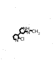 C=C/N=c1/cc(-c2cccnc2Cl)cc[nH]1